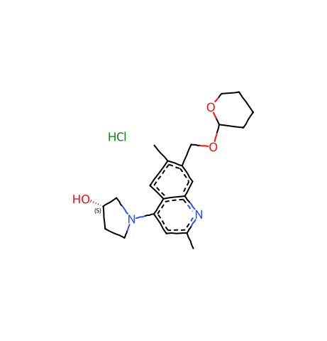 Cc1cc(N2CC[C@H](O)C2)c2cc(C)c(COC3CCCCO3)cc2n1.Cl